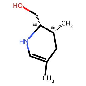 CC1=CN[C@H](CO)[C@H](C)C1